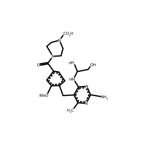 CCCC(CO)Nc1nc(N)nc(C)c1Cc1ccc(C(=O)N2CCN(C(=O)O)CC2)cc1OC